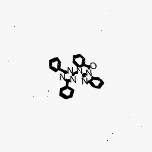 O=c1c2ccccc2n(-c2nc(-c3ccccc3)nc(-c3ccccc3)n2)c2nc3ccccc3n12